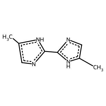 Cc1cnc(-c2ncc(C)[nH]2)[nH]1